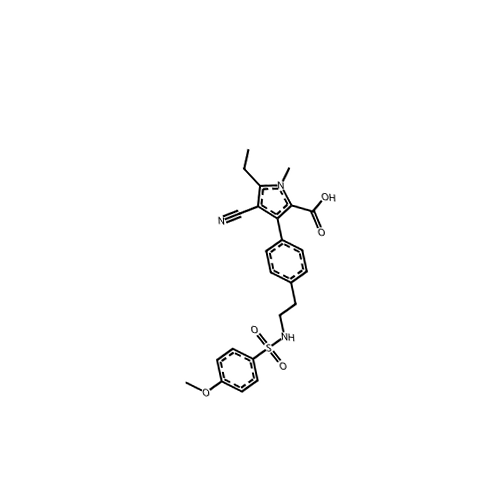 CCc1c(C#N)c(-c2ccc(CCNS(=O)(=O)c3ccc(OC)cc3)cc2)c(C(=O)O)n1C